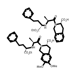 CCOC(=O)[C@H](CCc1ccccc1)N[C@@H](C)C(=O)N1Cc2cc(OC)c(OC)cc2C[C@H]1C(=O)O.CCOC(=O)[C@H](CCc1ccccc1)N[C@@H](C)C(=O)N1Cc2ccccc2C[C@H]1C(=O)O